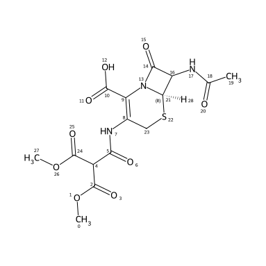 COC(=O)C(C(=O)NC1=C(C(=O)O)N2C(=O)C(NC(C)=O)[C@H]2SC1)C(=O)OC